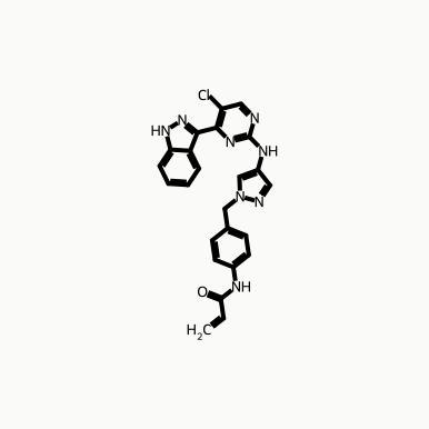 C=CC(=O)Nc1ccc(Cn2cc(Nc3ncc(Cl)c(-c4n[nH]c5ccccc45)n3)cn2)cc1